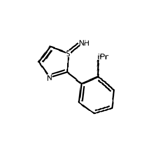 CC(C)c1ccccc1C1=NC=CS1=N